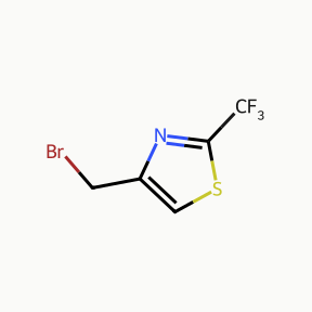 FC(F)(F)c1nc(CBr)cs1